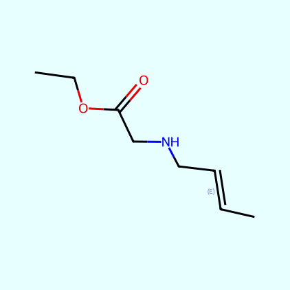 C/C=C/CNCC(=O)OCC